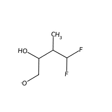 CC(C(F)F)C(O)C[O]